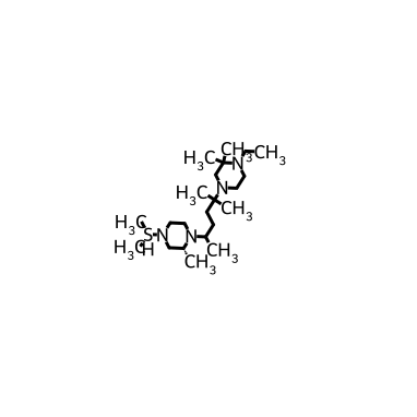 CCN1CCN(C(C)(C)CCC(C)N2CCN([SH](C)C)C[C@H]2C)CC1(C)C